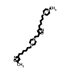 Cc1cc(CCCCCCN2CCN(CCc3cc(CCCCCN4CCN(C)CC4)no3)CC2)no1